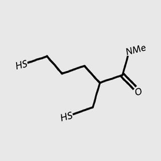 CNC(=O)C(CS)CCCS